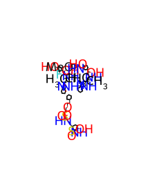 CC(C)(CCc1nc2ccccc2[nH]1)NCC(O)c1ccc(O)cc1F.COc1ccc(CNc2cc(C(O)CNC(C)(C)CCc3nc4ccccc4[nH]3)ccc2O)cc1.O=c1[nH]c2c(O)ccc(CCNCCS(=O)(=O)CCCOCCc3ccccc3)c2s1